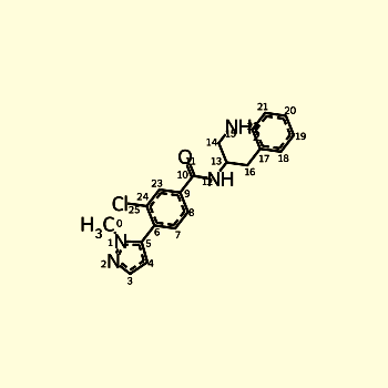 Cn1nccc1-c1ccc(C(=O)NC(CN)Cc2ccccc2)cc1Cl